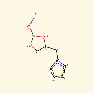 IOC1OCC(Cn2cccc2)O1